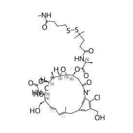 CNC(=O)CCCSSC(C)(C)CCC(=O)N[C@@H](C)C(=O)O[C@H]1CC(=O)N(C)c2cc(cc(CO)c2Cl)C/C(C)=C/C=C/[C@@H](CO)[C@@]2(O)C[C@H](OC(=O)N2)[C@@H](C)[C@@H]2O[C@@]12C